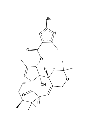 CC1=C[C@@]23CC[C@H](C)C(C)(C)[C@H](C=C4COC(C)(C)O[C@H]4[C@]2(O)[C@H]1OC(=O)c1cc(C(C)(C)C)nn1C)C3=O